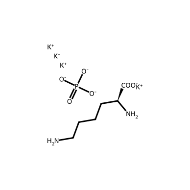 NCCCC[C@H](N)C(=O)[O-].O=P([O-])([O-])[O-].[K+].[K+].[K+].[K+]